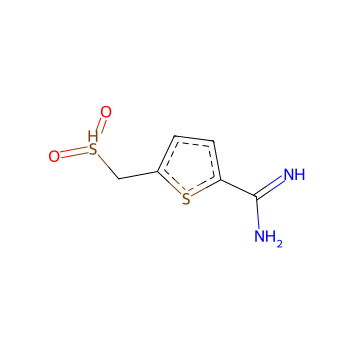 N=C(N)c1ccc(C[SH](=O)=O)s1